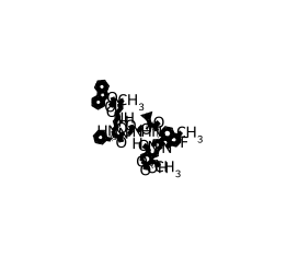 CC[C@@]1(O)C(=O)OCc2c1cc1n(c2=O)Cc2c-1nc1cc(F)c(C)c3c1c2[C@@H](NC(=O)[C@@H](OCNC(=O)CNC(=O)[C@H](Cc1ccccc1)NC(=O)CNC(=O)CN(C)C(=O)OC1c2ccccc2-c2ccccc21)C1CC1)CC3